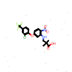 CC(C)(CNc1cc(Oc2ccc(C(F)(F)F)cc2Cl)ccc1[N+](=O)[O-])C(=O)O